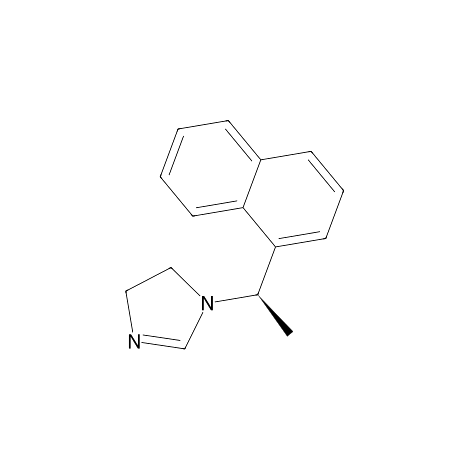 C[C@H](c1cccc2ccccc12)N1C=NCC1